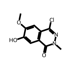 COc1cc2c(Cl)nn(C)c(=O)c2cc1O